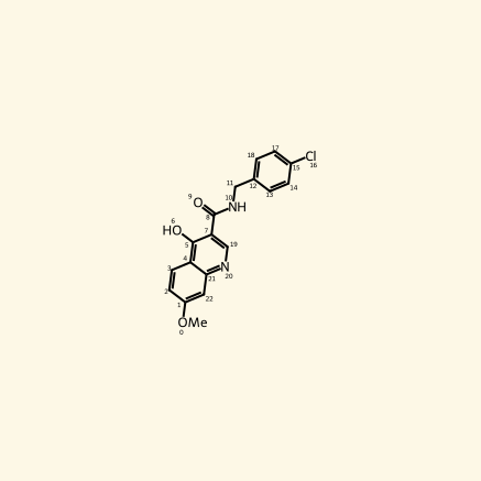 COc1ccc2c(O)c(C(=O)NCc3ccc(Cl)cc3)cnc2c1